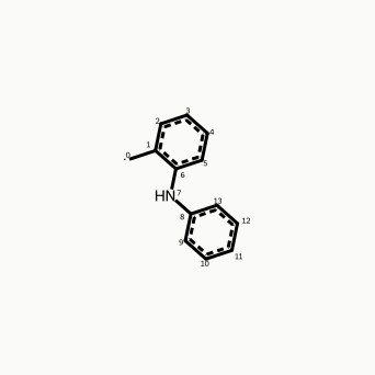 [CH2]c1ccccc1Nc1ccccc1